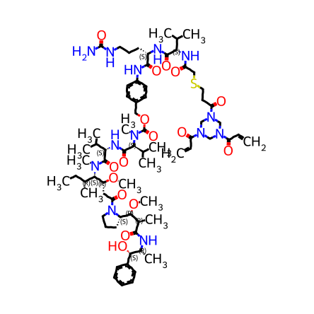 C=CC(=O)N1CN(C(=O)C=C)CN(C(=O)CCSCC(=O)N[C@H](C(=O)N[C@@H](CCCNC(N)=O)C(=O)Nc2ccc(COC(=O)N(C)[C@H](C(=O)N[C@H](C(=O)N(C)[C@@H]([C@H](C)CC)[C@@H](CC(=O)N3CCC[C@H]3[C@H](OC)[C@@H](C)C(=O)N[C@H](C)[C@@H](O)c3ccccc3)OC)C(C)C)C(C)C)cc2)C(C)C)C1